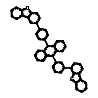 c1cc(-c2c3ccccc3c(-c3ccc(-c4ccc5oc6ccccc6c5c4)cc3)c3ccccc23)cc(-c2cccc3c2sc2ccccc23)c1